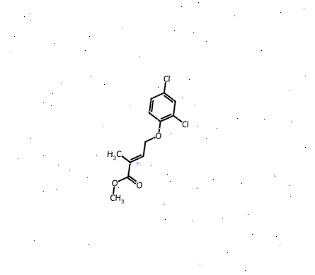 COC(=O)/C(C)=C/COc1ccc(Cl)cc1Cl